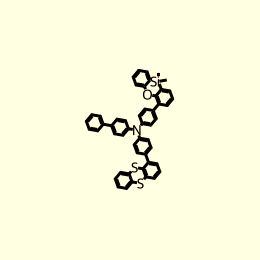 C[Si]1(C)c2ccccc2Oc2c(-c3ccc(N(c4ccc(-c5ccccc5)cc4)c4ccc(-c5cccc6c5Sc5ccccc5S6)cc4)cc3)cccc21